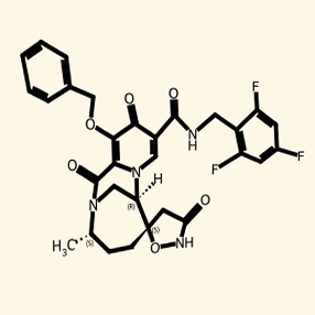 C[C@H]1CC[C@]2(CC(=O)NO2)[C@H]2CN1C(=O)c1c(OCc3ccccc3)c(=O)c(C(=O)NCc3c(F)cc(F)cc3F)cn12